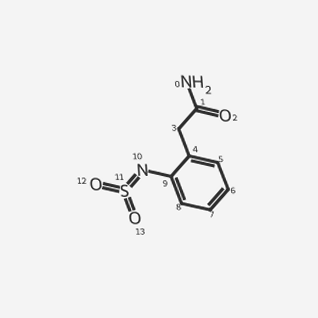 NC(=O)Cc1ccccc1N=S(=O)=O